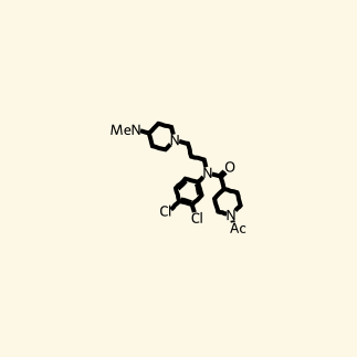 CNC1CCN(CCCN(C(=O)C2CCN(C(C)=O)CC2)c2ccc(Cl)c(Cl)c2)CC1